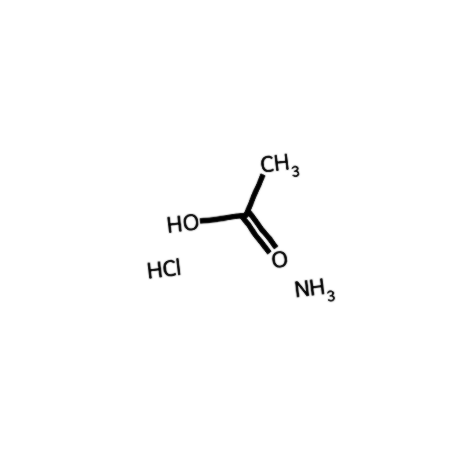 CC(=O)O.Cl.N